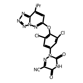 CC(C)c1cc(Oc2c(Cl)cc(-n3nc(C#N)c(=O)[nH]c3=O)cc2Cl)nn2nnnc12